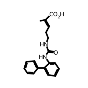 CC(=CCCNC(=O)Nc1ccccc1-c1ccccc1)C(=O)O